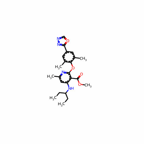 CCC(CC)Nc1cc(C)nc(Oc2c(C)cc(-c3nnco3)cc2C)c1C(=O)OC